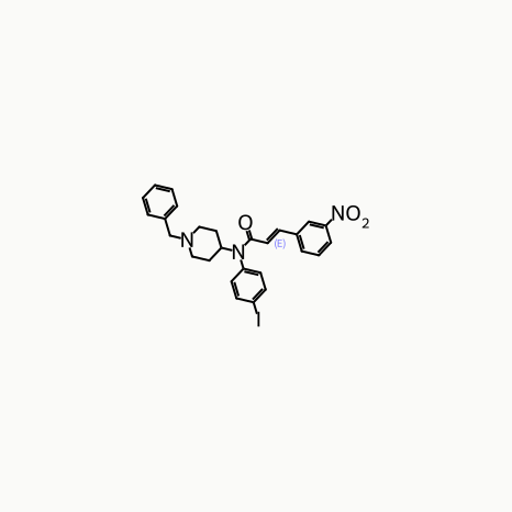 O=C(/C=C/c1cccc([N+](=O)[O-])c1)N(c1ccc(I)cc1)C1CCN(Cc2ccccc2)CC1